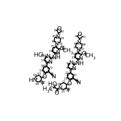 COc1nc(Nc2nccc(-c3ccc(O[C@H]4CCN(C(=O)C(C)O)C[C@H]4F)c(C#N)c3)n2)ccc1N1CCN(C2COC2)CC1.COc1nc(Nc2nccc(-c3ccc(O[C@H]4CCNC[C@H]4F)c(C#N)c3)n2)ccc1N1CCN(C2COC2)CC1.Cl